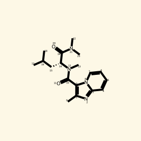 Cc1nc2ccccn2c1C(=O)N(C)[C@H](CC(C)C)C(=O)N(C)C